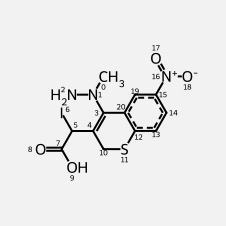 CN(N)C1=C(C(I)C(=O)O)CSc2ccc([N+](=O)[O-])cc21